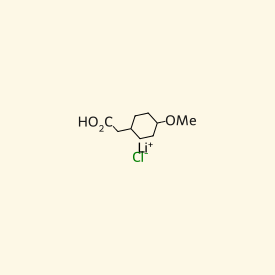 COC1CCC(CC(=O)O)CC1.[Cl-].[Li+]